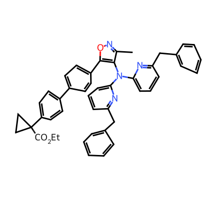 CCOC(=O)C1(c2ccc(-c3ccc(-c4onc(C)c4N(c4cccc(Cc5ccccc5)n4)c4cccc(Cc5ccccc5)n4)cc3)cc2)CC1